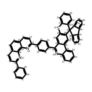 c1ccc(-c2ccc3ccc4ccc(-c5ccc(-c6nc7ccccc7c7cc8c(cc67)Sc6ccccc6C86c7ccccc7-c7ccccc76)cc5)nc4c3n2)cc1